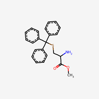 COC(=O)C(N)CSC(c1ccccc1)(c1ccccc1)c1ccccc1